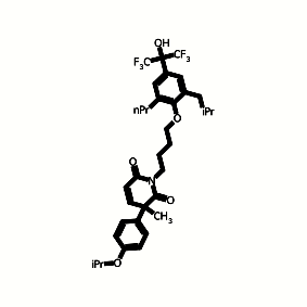 CCCc1cc(C(O)(C(F)(F)F)C(F)(F)F)cc(CC(C)C)c1OCCCCN1C(=O)C=CC(C)(c2ccc(OC(C)C)cc2)C1=O